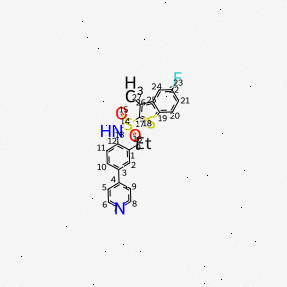 CCc1cc(-c2ccncc2)ccc1NS(=O)(=O)c1sc2ccc(F)cc2c1C